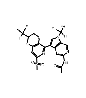 [2H]C([2H])([2H])n1cc(-c2nc(S(C)(=O)=O)cc3c2OCC(C(C)(F)F)O3)c2cc(NC(C)=O)ncc21